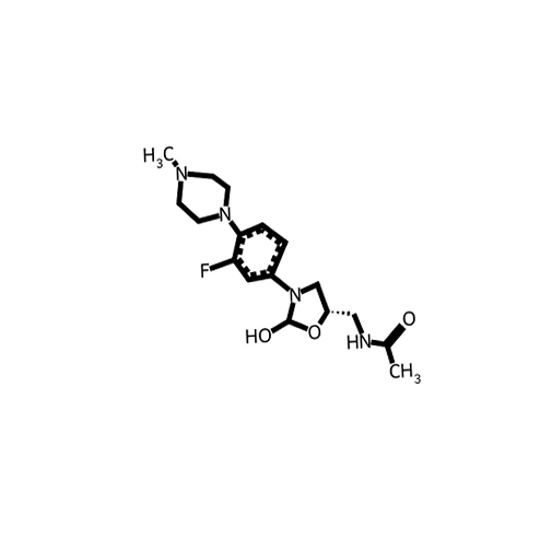 CC(=O)NC[C@H]1CN(c2ccc(N3CCN(C)CC3)c(F)c2)C(O)O1